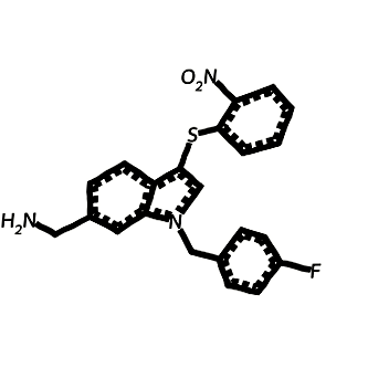 NCc1ccc2c(Sc3ccccc3[N+](=O)[O-])cn(Cc3ccc(F)cc3)c2c1